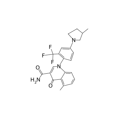 Cc1cccc2c1c(=O)c(C(N)=O)cn2-c1ccc(N2CCC(C)C2)cc1C(F)(F)F